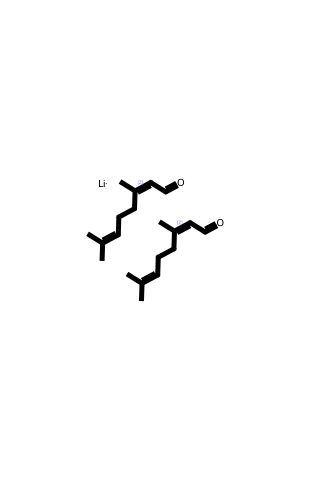 CC(C)=CCC/C(C)=C\C=O.CC(C)=CCC/C(C)=C\C=O.[Li]